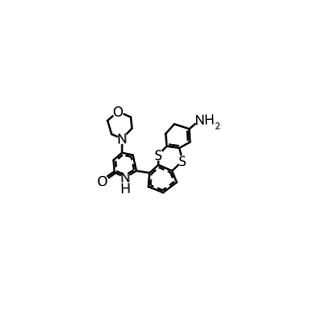 NC1=CC2=C(CC1)Sc1c(cccc1-c1cc(N3CCOCC3)cc(=O)[nH]1)S2